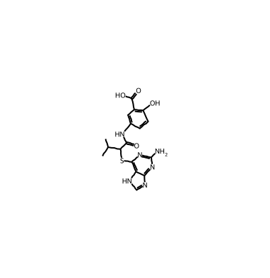 CC(C)C(Sc1nc(N)nc2nc[nH]c12)C(=O)Nc1ccc(O)c(C(=O)O)c1